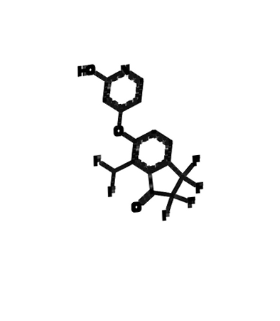 O=C1c2c(ccc(Oc3ccnc(O)c3)c2C(F)F)C(F)(F)C1(F)F